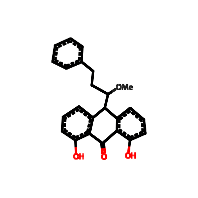 COC(CCc1ccccc1)C1c2cccc(O)c2C(=O)c2c(O)cccc21